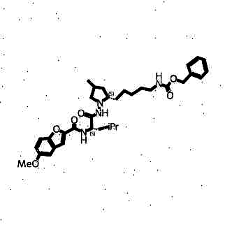 COc1ccc2oc(C(=O)N[C@@H](CC(C)C)C(=O)NN3CC(C)C[C@@H]3CCCCCNC(=O)OCc3ccccc3)cc2c1